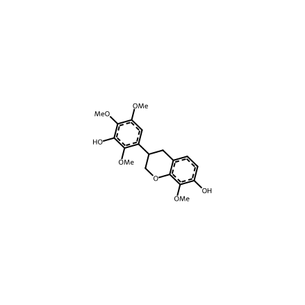 COc1cc(C2COc3c(ccc(O)c3OC)C2)c(OC)c(O)c1OC